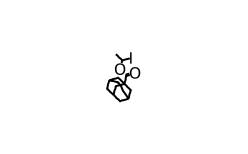 CC(I)OC(=O)C12CC3CC(CC(C3)C1)C2